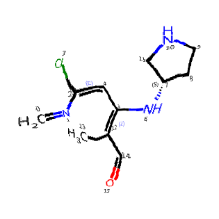 C=N/C(Cl)=C\C(N[C@H]1CCNC1)=C(/C)C=O